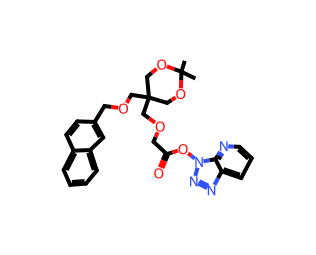 CC1(C)OCC(COCC(=O)On2nnc3cccnc32)(COCc2ccc3ccccc3c2)CO1